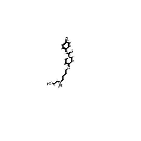 CCN(CCO)CCCCOC1CCN(C(=O)Oc2ccc(Cl)cc2)CC1